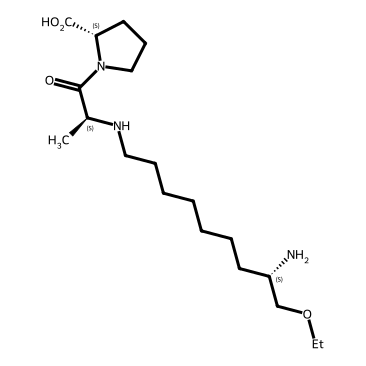 CCOC[C@@H](N)CCCCCCCN[C@@H](C)C(=O)N1CCC[C@H]1C(=O)O